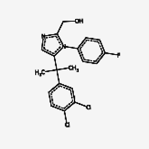 CC(C)(c1ccc(Cl)c(Cl)c1)c1cnc(CO)n1-c1ccc(F)cc1